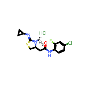 CN1C(=NC2CC2)SCC1CC(=O)Nc1ccc(Cl)cc1F.Cl